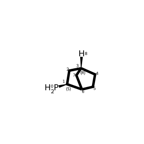 P[C@H]1C[C@@H]2CCC1C2